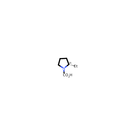 CC[C@H]1CCCN1C(=O)O